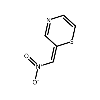 O=[N+]([O-])C=C1C=NC=CS1